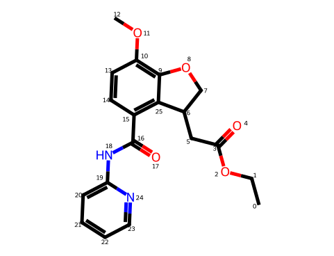 CCOC(=O)CC1COc2c(OC)ccc(C(=O)Nc3ccccn3)c21